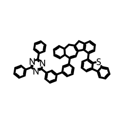 C1=CC2CC3=C(C=C(c4cccc(-c5cccc(-c6nc(-c7ccccc7)nc(-c7ccccc7)n6)c5)c4)C2C=C1)c1c(cccc1-c1cccc2c1sc1ccccc12)C3